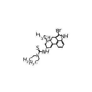 CCN(CC)C(=S)N[C@H]1C=C2c3cccc4[nH]c(Br)c(c34)C[C@H]2N(C)C1